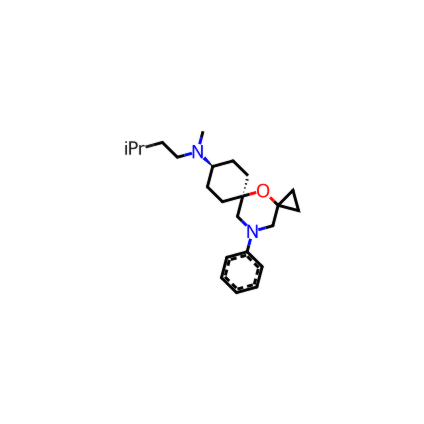 CC(C)CCN(C)[C@H]1CC[C@@]2(CC1)CN(c1ccccc1)CC1(CC1)O2